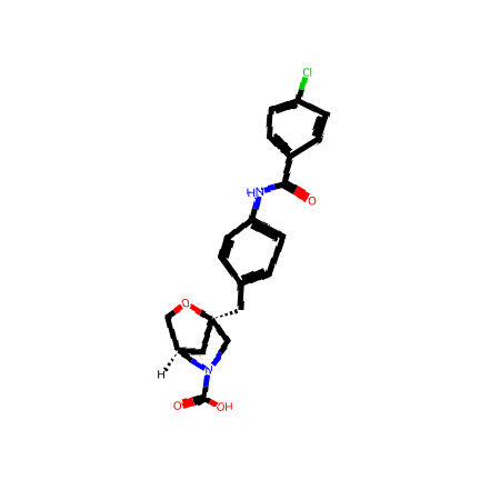 O=C(Nc1ccc(C[C@]23C[C@H](CO2)N(C(=O)O)C3)cc1)c1ccc(Cl)cc1